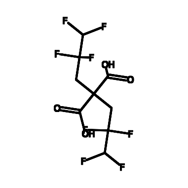 O=C(O)C(CC(F)(F)C(F)F)(CC(F)(F)C(F)F)C(=O)O